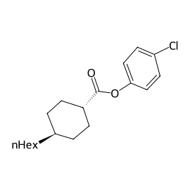 CCCCCC[C@H]1CC[C@H](C(=O)Oc2ccc(Cl)cc2)CC1